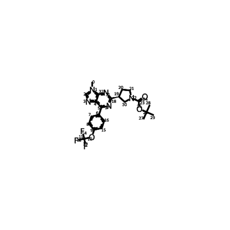 Cn1cnc2c(-c3ccc(OC(F)(F)F)cc3)nc([C@H]3CCN(C(=O)OC(C)(C)C)C3)nc21